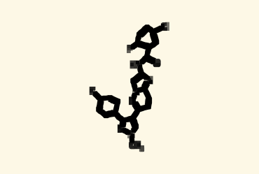 Cn1cc(-c2ccc3nc(NC(=O)c4cc(Cl)ccc4F)cn3n2)c(-c2ccc(F)cc2)n1